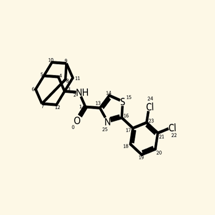 O=C(NC12CC3CC(CC(C3)C1)C2)c1csc(-c2cccc(Cl)c2Cl)n1